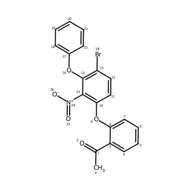 CC(=O)c1ccccc1Oc1ccc(Br)c(Oc2ccccc2)c1[N+](=O)[O-]